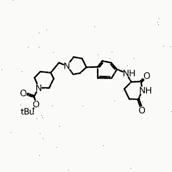 CC(C)(C)OC(=O)N1CCC(CN2CCC(c3ccc(NC4CCC(=O)NC4=O)cc3)CC2)CC1